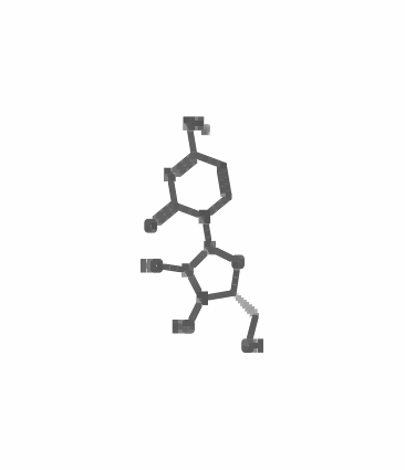 Nc1ccn(N2O[C@H](CO)N(O)N2O)c(=O)n1